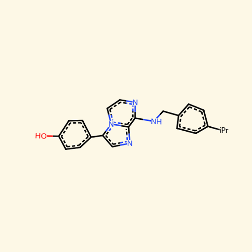 CC(C)c1ccc(CNc2nccn3c(-c4ccc(O)cc4)cnc23)cc1